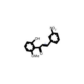 COc1cccc(O)c1C(=O)/C=C/c1cccc([N+](=O)[O-])c1